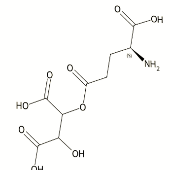 N[C@@H](CCC(=O)OC(C(=O)O)C(O)C(=O)O)C(=O)O